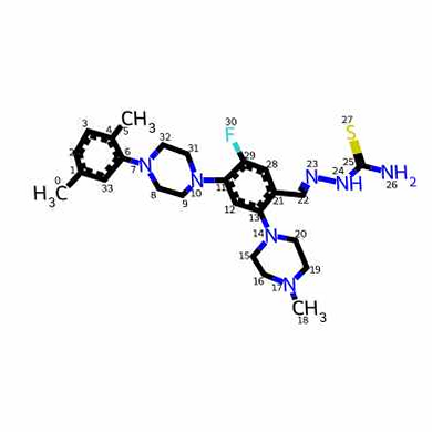 Cc1ccc(C)c(N2CCN(c3cc(N4CCN(C)CC4)c(C=NNC(N)=S)cc3F)CC2)c1